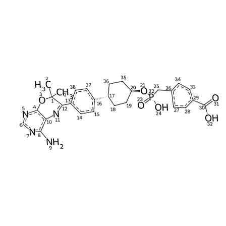 CC1(C)Oc2ncnc(N)c2N=C1c1ccc([C@H]2CC[C@H](OP(=O)(O)Cc3ccc(C(=O)O)cc3)CC2)cc1